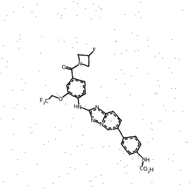 O=C(O)Nc1ccc(-c2ccc3nc(Nc4ccc(C(=O)N5CC(F)C5)cc4OCC(F)(F)F)nn3c2)cc1